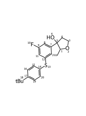 CC1OCCC1(O)c1cc(F)cc(Sc2ccc(C(C)(C)C)cc2)c1